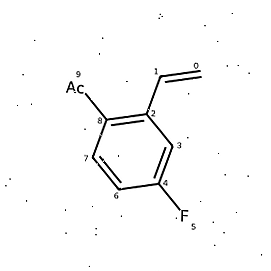 C=Cc1cc(F)ccc1C(C)=O